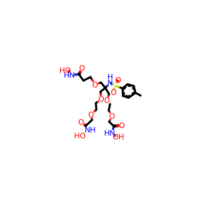 Cc1ccc(S(=O)(=O)NC(COCCOCC(=O)NO)(COCCOCC(=O)NO)COCCC(=O)NO)cc1